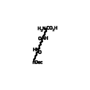 CCCCCCCCCCCCCCCC(=O)NCCCCCC(=O)NCCCCC(N)C(=O)O